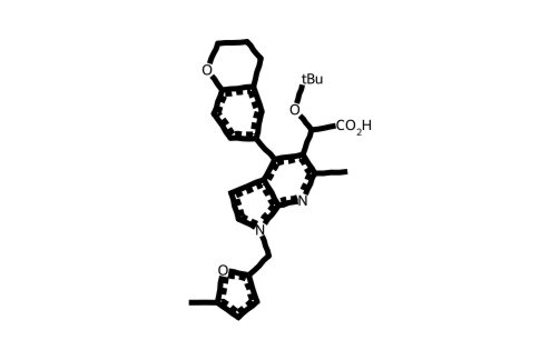 Cc1ccc(Cn2ccc3c(-c4ccc5c(c4)CCCO5)c(C(OC(C)(C)C)C(=O)O)c(C)nc32)o1